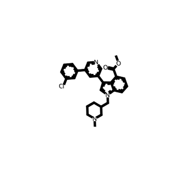 COC(=O)c1cccc2c1c(-c1cncc(-c3cccc(Cl)c3)c1)cn2CC1CCCN(C)C1